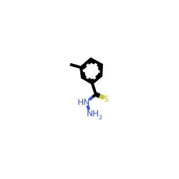 Cc1cccc(C(=S)NN)c1